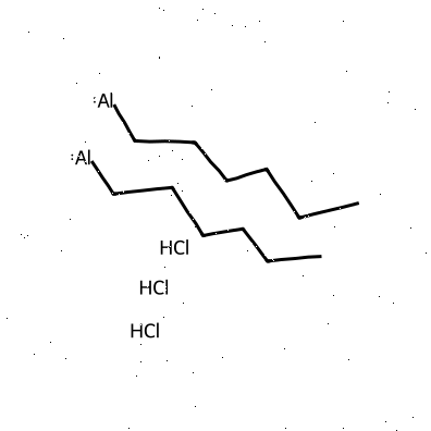 CCCCC[CH2][Al].CCCCC[CH2][Al].Cl.Cl.Cl